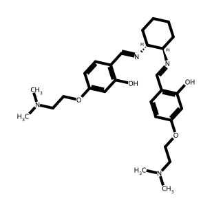 CN(C)CCOc1ccc(C=N[C@@H]2CCCC[C@H]2N=Cc2ccc(OCCN(C)C)cc2O)c(O)c1